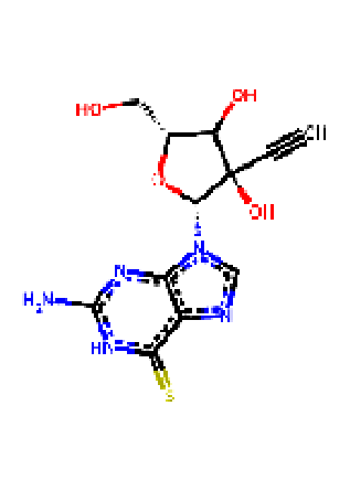 C#C[C@@]1(O)C(O)[C@@H](CO)O[C@H]1n1cnc2c(=S)[nH]c(N)nc21